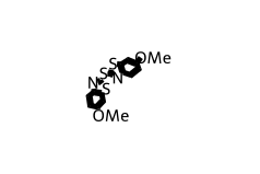 COc1ccc2nc(Sc3nc4ccc(OC)cc4s3)sc2c1